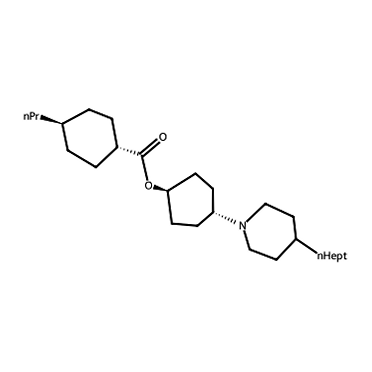 CCCCCCCC1CCN([C@H]2CC[C@H](OC(=O)[C@H]3CC[C@H](CCC)CC3)CC2)CC1